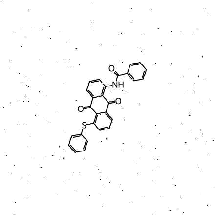 O=C(Nc1cccc2c1C(=O)c1cccc(Sc3ccccc3)c1C2=O)c1ccccc1